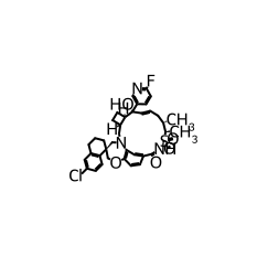 C[C@@H]1[C@@H](C)C/C=C/[C@](O)(c2ccc(F)nc2)[C@@H]2CC[C@H]2CN2C[C@@]3(CCCc4cc(Cl)ccc43)COc3ccc(cc32)C(=O)NS1(=O)=O